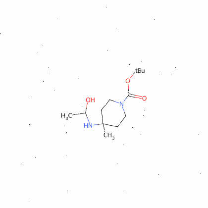 CC(O)NC1(C)CCN(C(=O)OC(C)(C)C)CC1